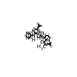 CN(C(=O)c1ncccc1NC(=O)Oc1nc(C2CC2)cnc1Nc1cncnc1)C1CC1